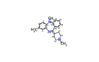 Cc1ccc2c(c1)N=C(C1CCN(C)CC1)c1ccccc1N2C